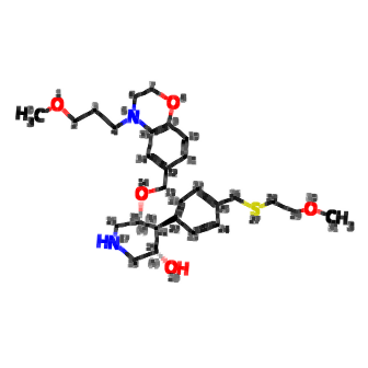 COCCCN1CCOc2ccc(CO[C@H]3CNC[C@@H](O)[C@@H]3c3ccc(CSCCOC)cc3)cc21